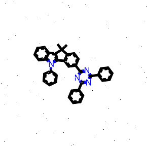 CC1(C)c2ccc(-c3nc(-c4ccccc4)nc(-c4ccccc4)n3)cc2-c2c1c1ccccc1n2-c1ccccc1